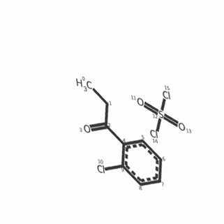 CCC(=O)c1ccccc1Cl.O=S(=O)(Cl)Cl